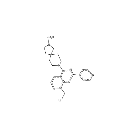 O=C(O)N1CCC2(CCN(c3nc(-c4ccncc4)nc4c(CC(F)(F)F)nccc34)CC2)C1